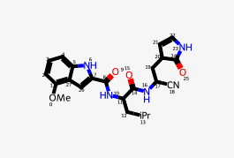 COc1cccc2[nH]c(C(=O)NC(CC(C)C)C(=O)NC(C#N)CC3C=CNC3=O)cc12